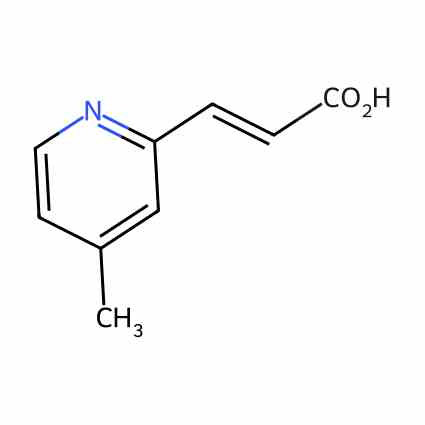 Cc1ccnc(C=CC(=O)O)c1